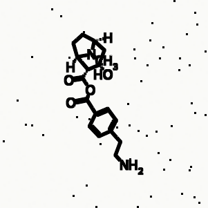 CN1[C@H]2CC[C@@H]1[C@@H](C(=O)OC(=O)c1ccc(CCN)cc1)[C@@H](O)C2